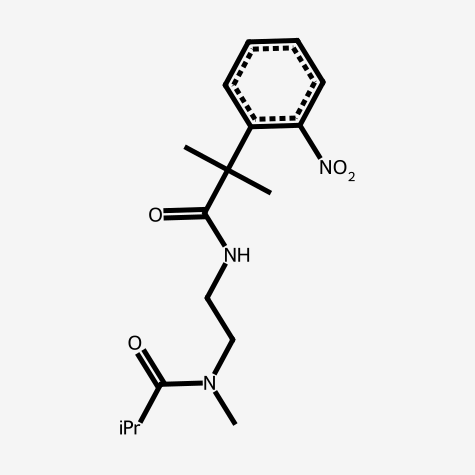 CC(C)C(=O)N(C)CCNC(=O)C(C)(C)c1ccccc1[N+](=O)[O-]